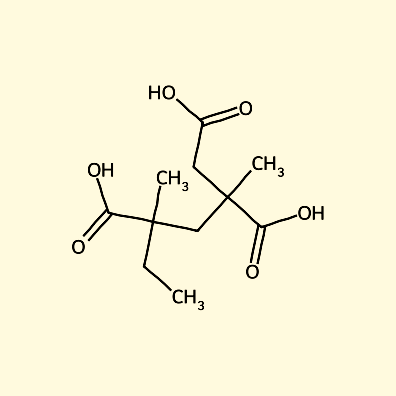 CCC(C)(CC(C)(CC(=O)O)C(=O)O)C(=O)O